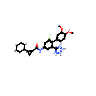 COc1ccc(-c2c(F)cc(NC(=O)C3CC3C3CCCCC3)cc2-c2nnn[nH]2)cc1OC